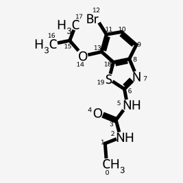 CCNC(=O)Nc1nc2ccc(Br)c(OC(C)C)c2s1